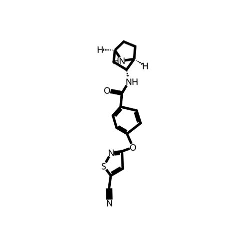 N#Cc1cc(Oc2ccc(C(=O)N[C@@H]3C[C@H]4CC[C@@H]3N4)cc2)ns1